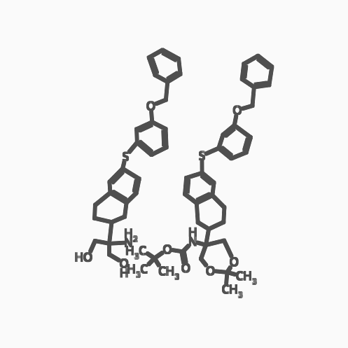 CC(C)(C)OC(=O)NC1(C2CCc3cc(Sc4cccc(OCc5ccccc5)c4)ccc3C2)COC(C)(C)OC1.NC(CO)(CO)C1CCc2cc(Sc3cccc(OCc4ccccc4)c3)ccc2C1